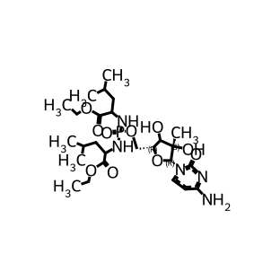 CCOC(=O)C(CC(C)C)NP(=O)(NC(CC(C)C)C(=O)OCC)OC[C@H]1O[C@@H](n2ccc(N)nc2=O)[C@@](C)(O)C1O